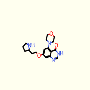 O=c1[nH]cnc2cc(OCCC3CCCN3)cc(N3CCOCC3)c12